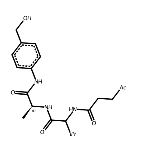 CC(=O)CCC(=O)NC(C(=O)N[C@@H](C)C(=O)Nc1ccc(CO)cc1)C(C)C